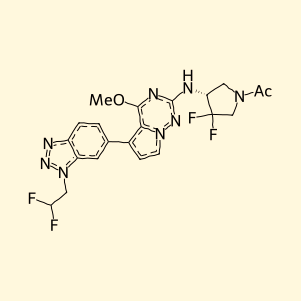 COc1nc(N[C@@H]2CN(C(C)=O)CC2(F)F)nn2ccc(-c3ccc4nnn(CC(F)F)c4c3)c12